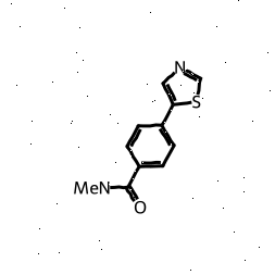 CNC(=O)c1ccc(-c2cncs2)cc1